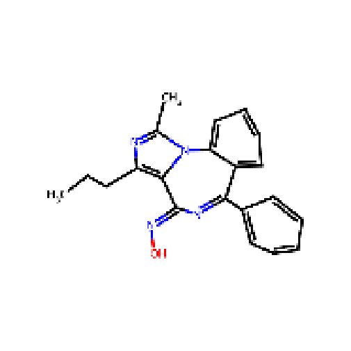 CCCc1nc(C)n2c1c(=NO)nc(-c1ccccc1)c1ccccc12